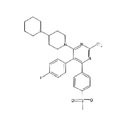 CS(=O)(=O)c1ccc(-c2nc(C(F)(F)F)nc(N3CCC(N4CCCCC4)CC3)c2-c2ccc(F)cc2)cc1